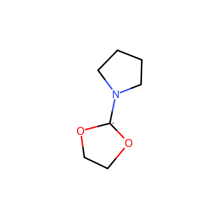 C1CCN([C]2OCCO2)C1